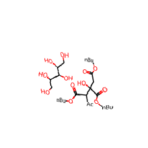 CCCCOC(=O)CC(O)(C(=O)OCCCC)C(C(C)=O)C(=O)OCCCC.OC[C@@H](O)[C@H](O)[C@@H](O)CO